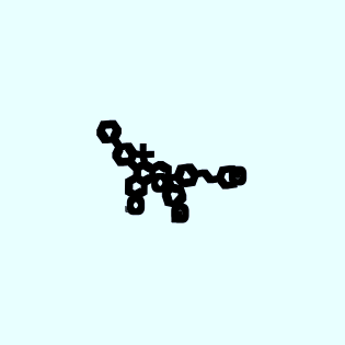 COc1ccc(C2(c3ccc(CCC4CCOCC4)cc3)C=Cc3c4c(c5ccc(OC)cc5c3O2)-c2ccc(-c3ccccc3)cc2C4(C)C)cc1